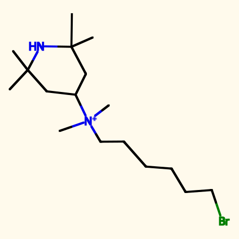 CC1(C)CC([N+](C)(C)CCCCCCBr)CC(C)(C)N1